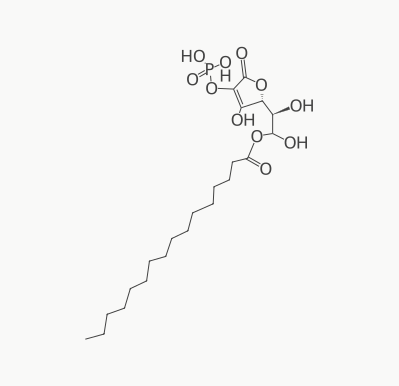 CCCCCCCCCCCCCCCC(=O)OC(O)[C@H](O)[C@H]1OC(=O)C(OP(=O)(O)O)=C1O